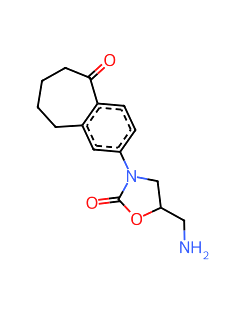 NCC1CN(c2ccc3c(c2)CCCCC3=O)C(=O)O1